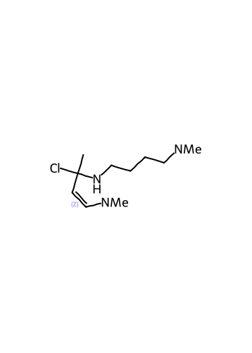 CN/C=C\C(C)(Cl)NCCCCNC